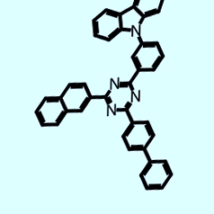 c1ccc(-c2ccc(-c3nc(-c4cccc(-n5c6ccccc6c6ccccc65)c4)nc(-c4ccc5ccccc5c4)n3)cc2)cc1